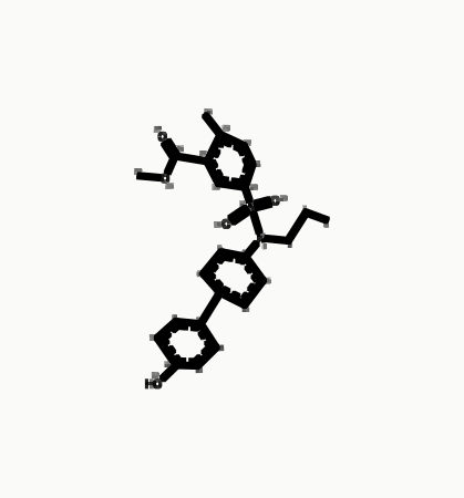 CCCN(c1ccc(-c2ccc(O)cc2)cc1)S(=O)(=O)c1ccc(C)c(C(=O)OC)c1